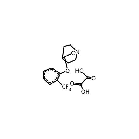 FC(F)(F)c1ccccc1OC1CN2CCC1CC2.O=C(O)C(=O)O